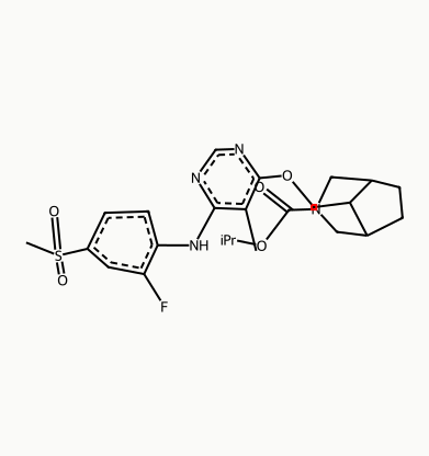 Cc1c(Nc2ccc(S(C)(=O)=O)cc2F)ncnc1OCC1C2CCC1CN(C(=O)OC(C)C)C2